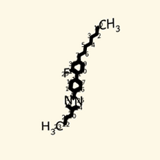 CCCCCCCCc1ccc(-c2ccc(-c3ncc(CCCC)cn3)cc2)c(F)c1